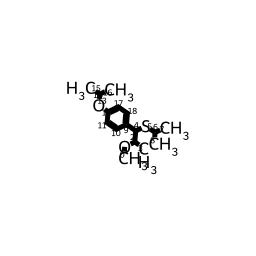 COC(C)C(SC(C)C)c1ccc(OC(C)C)cc1